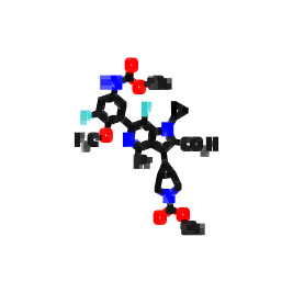 CC(C)c1nc(-c2cc(NC(=O)OC(C)(C)C)cc(F)c2OC(F)(F)F)c(F)c2c1c(C1C3CN(C(=O)OC(C)(C)C)CC31)c(C(=O)O)n2C1CC1